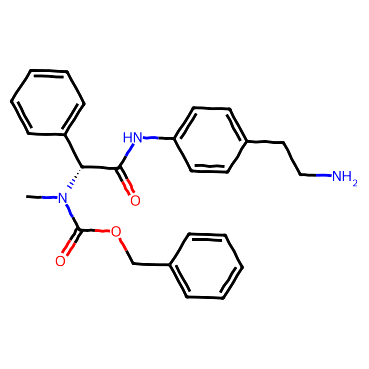 CN(C(=O)OCc1ccccc1)[C@@H](C(=O)Nc1ccc(CCN)cc1)c1ccccc1